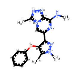 CNc1nc(-c2nn(C)c(C)c2Oc2ccccc2)cn2c(C)nnc12